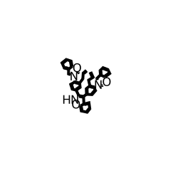 C=CCc1cc(C2=C(c3ccc(N4COc5ccccc5C4)c(CC=C)c3)c3ccccc3ON2)ccc1N1COc2ccccc2C1